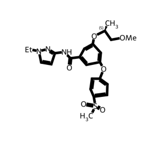 CCn1ccc(NC(=O)c2cc(Oc3ccc(S(C)(=O)=O)cc3)cc(O[C@@H](C)COC)c2)n1